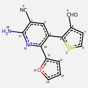 N#Cc1cc(-c2sccc2C=O)c(-c2ccco2)nc1N